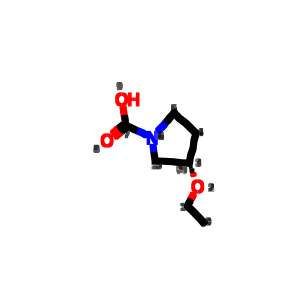 CCO[C@H]1CCN(C(=O)O)C1